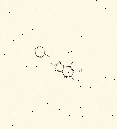 Cc1nc2cc(SCc3ccccc3)nn2c(C)c1Cl